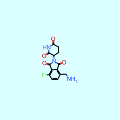 NCc1ccc(F)c2c1C(=O)N(C1CCC(=O)NC1=O)C2=O